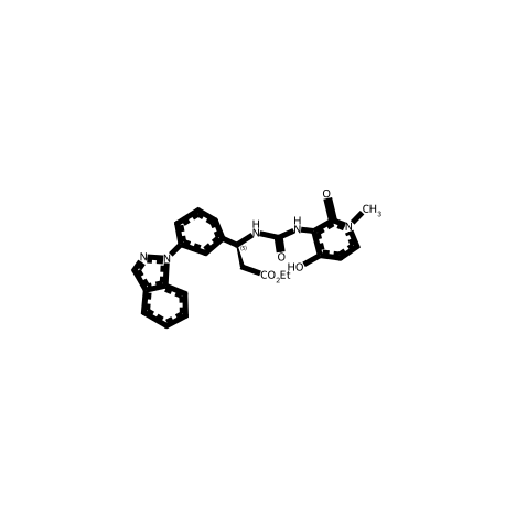 CCOC(=O)C[C@H](NC(=O)Nc1c(O)ccn(C)c1=O)c1cccc(-n2ncc3ccccc32)c1